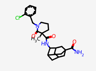 CC1(C(=O)NC2C3CC4CC2CC(C(N)=O)(C4)C3)CCCN(Cc2ccccc2Cl)C1=O